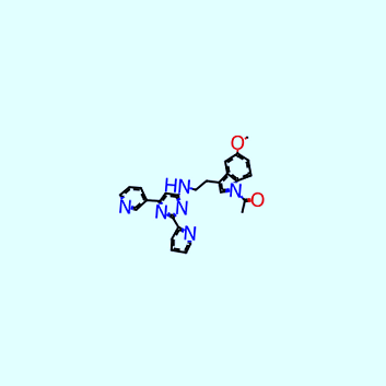 COc1ccc2c(c1)c(CCNc1cc(-c3cccnc3)nc(-c3ccccn3)n1)cn2C(C)=O